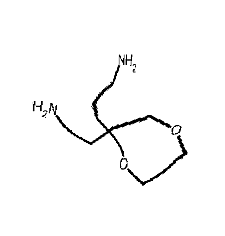 NCC1(CN)COCCO1